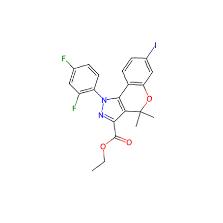 CCOC(=O)c1nn(-c2ccc(F)cc2F)c2c1C(C)(C)Oc1cc(I)ccc1-2